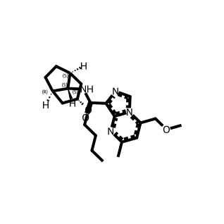 CCCCO[C@@H]1C[C@H]2CC[C@@H](C1)[C@@H]2NC(=O)c1ncn2c(COC)cc(C)nc12